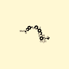 CCOC(=O)c1cc(F)c(NC(=O)Cc2cc(F)c(-c3cccc(OCc4ccc5c(c4)CN(C(=O)OC)C5)n3)cc2F)c(NC[C@@H]2CCO2)c1